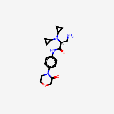 NC[C@@H](C(=O)Nc1ccc(N2CCOCC2=O)cc1)N(C1CC1)C1CC1